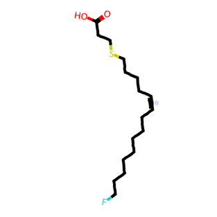 O=C(O)CCSCCCC/C=C\CCCCCCCCF